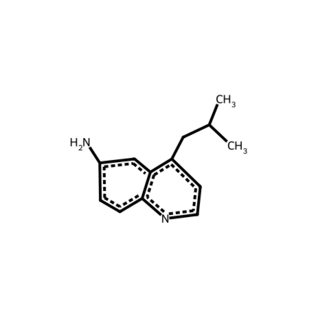 CC(C)Cc1ccnc2ccc(N)cc12